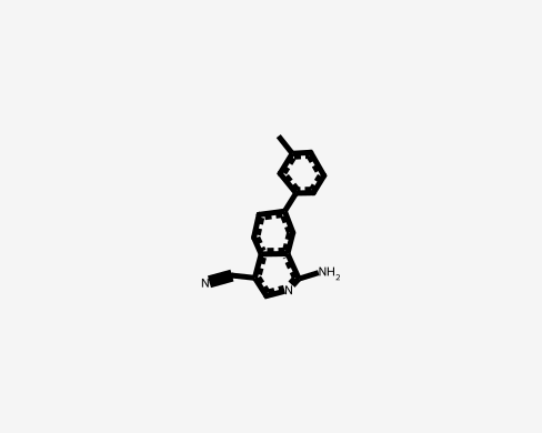 Cc1cccc(-c2ccc3c(C#N)cnc(N)c3c2)c1